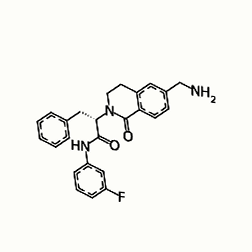 NCc1ccc2c(c1)CCN([C@@H](Cc1ccccc1)C(=O)Nc1cccc(F)c1)C2=O